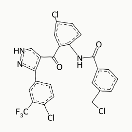 O=C(Nc1ccc(Cl)cc1C(=O)c1c[nH]nc1-c1ccc(Cl)c(C(F)(F)F)c1)c1cccc(CCl)c1